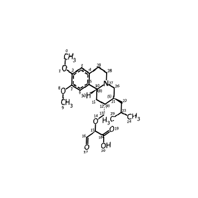 COc1cc2c(cc1OC)[C@H]1C[C@@H](COC(C=O)C(=O)O)[C@H](CC(C)C)CN1CC2